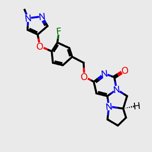 Cn1cc(Oc2ccc(COc3cc4n(c(=O)n3)C[C@H]3CCCN43)cc2F)cn1